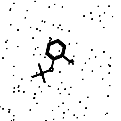 C[Si](C)(C)Oc1cccc[c]1[Pt]